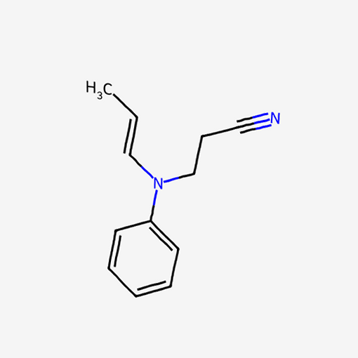 CC=CN(CCC#N)c1ccccc1